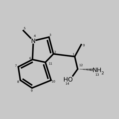 CC(c1cn(C)c2ccccc12)[C@H](N)O